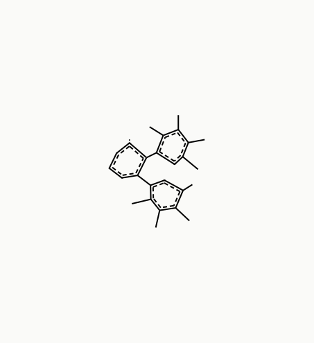 Cc1cc(-c2[c]cccc2-c2cc(C)c(C)c(C)c2C)c(C)c(C)c1C